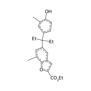 CCOC(=O)c1cc2cc(C(CC)(CC)c3ccc(O)c(C)c3)cc(C)c2o1